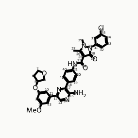 COc1cc(OC2CCOC2)cc(-c2cnc(N)c(-c3ccc(NC(=O)c4c(C)n(C)n(-c5cccc(Cl)c5)c4=O)cc3)n2)c1